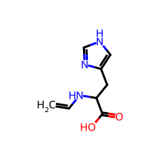 C=CNC(Cc1c[nH]cn1)C(=O)O